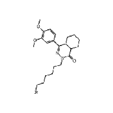 COc1ccc(C2=NN(CCCCCCBr)C(=O)C3CCCCC23)cc1OC